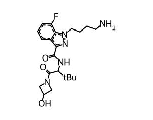 CC(C)(C)C(NC(=O)c1nn(CCCCN)c2c(F)cccc12)C(=O)N1CC(O)C1